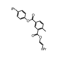 CCCC=COC(=O)c1cc(C(=O)Oc2ccc(C(C)C)cc2)ccc1C